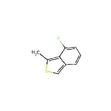 [CH2]c1scc2cccc(F)c12